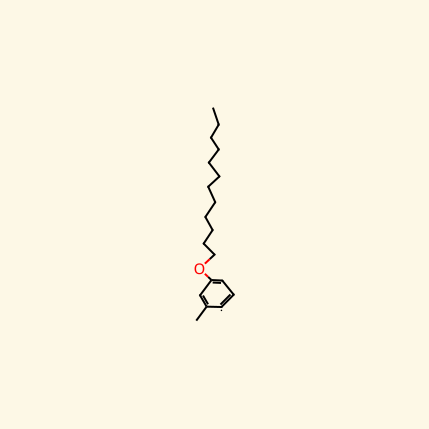 CCCCCCCCCCCCOc1cc[c]c(C)c1